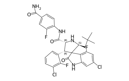 CC(C)(C)C[C@@H]1N[C@@H](C(=O)Nc2ccc(C(N)=O)cc2F)[C@@H](c2cccc(Cl)c2F)C12C(=O)Nc1cc(Cl)cc(F)c12